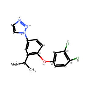 CNC(C)c1cc(-n2ccnn2)ccc1Oc1ccc(Cl)c(Cl)c1